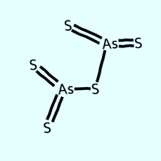 S=[As](=S)S[As](=S)=S